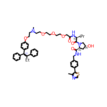 CC/C(=C(\c1ccccc1)c1ccc(OCCN(C)CCOCCOCCOCC(=O)N[C@H](C(=O)N2C[C@H](O)C[C@H]2C(=O)NCc2ccc(-c3scnc3C)cc2)C(C)C)cc1)c1ccccc1